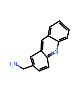 NCc1ccc2nc3ccccc3cc2c1